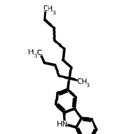 CCCCCCCC(C)(CCCC)c1ccc2[nH]c3ccccc3c2c1